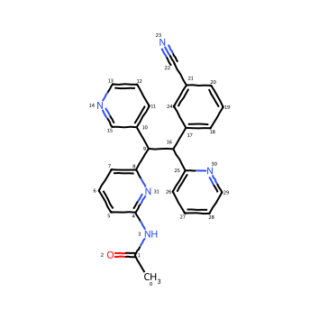 CC(=O)Nc1cccc(C(c2cccnc2)C(c2cccc(C#N)c2)c2ccccn2)n1